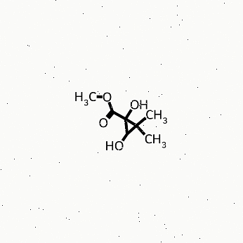 COC(=O)C1(O)C(O)C1(C)C